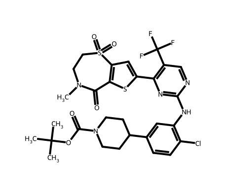 CN1CCS(=O)(=O)c2cc(-c3nc(Nc4cc(C5CCN(C(=O)OC(C)(C)C)CC5)ccc4Cl)ncc3C(F)(F)F)sc2C1=O